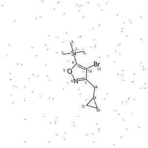 C[Si](C)(C)c1onc(CC2CC2)c1Br